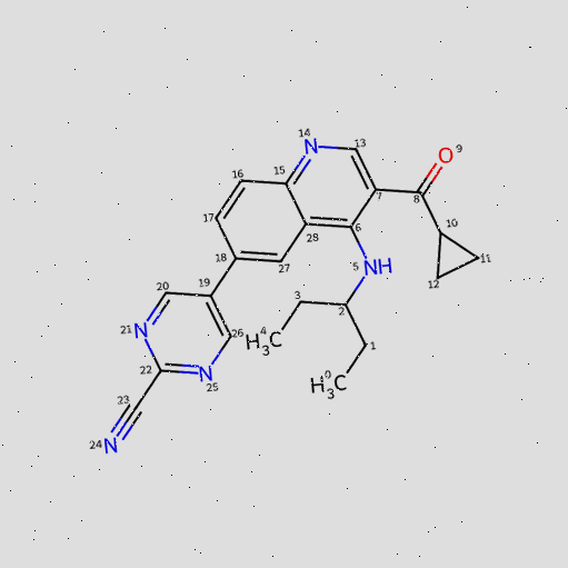 CCC(CC)Nc1c(C(=O)C2CC2)cnc2ccc(-c3cnc(C#N)nc3)cc12